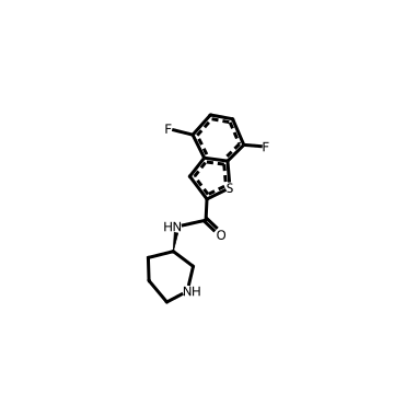 O=C(N[C@@H]1CCCNC1)c1cc2c(F)ccc(F)c2s1